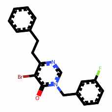 O=c1c(Br)c(CCc2ccccc2)ncn1Cc1cccc(F)c1